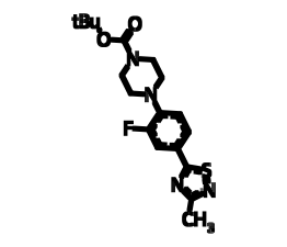 Cc1nsc(-c2ccc(N3CCN(C(=O)OC(C)(C)C)CC3)c(F)c2)n1